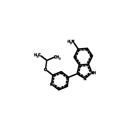 CC(C)Oc1cc(-c2n[nH]c3ccc(N)cc23)ccn1